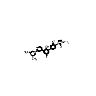 CC1=CN(c2cc(-c3cc(F)cc(-c4ccc(-n5ccn(C)c5=O)c(Cl)c4)c3O)ccn2)C[C@@H](C)O1